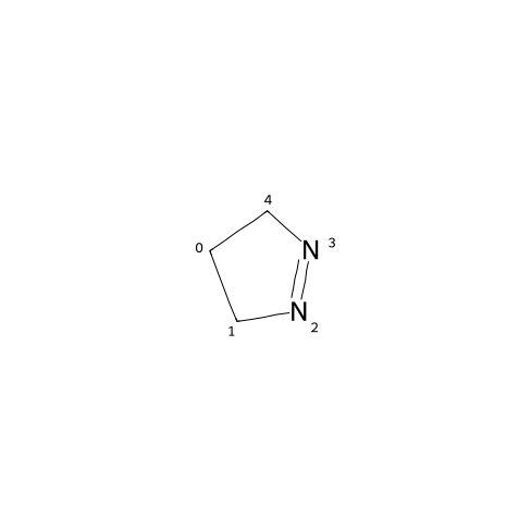 C1CN=NC1